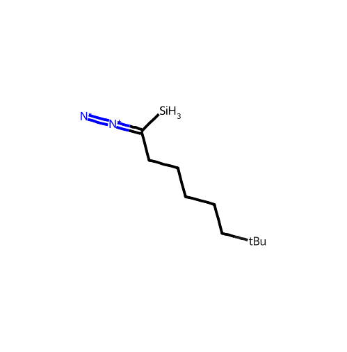 CC(C)(C)CCCCCC([SiH3])=[N+]=[N-]